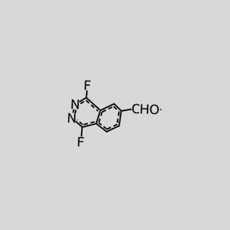 O=[C]c1ccc2c(F)nnc(F)c2c1